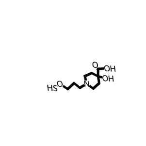 O=C(O)C1(O)CCN(CCCOS)CC1